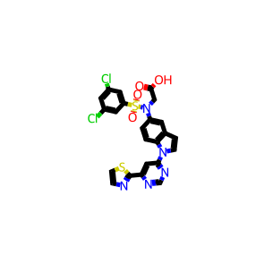 O=C(O)CN(c1ccc2c(ccn2-c2cc(-c3nccs3)ncn2)c1)S(=O)(=O)c1cc(Cl)cc(Cl)c1